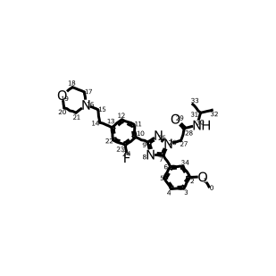 COc1cccc(-c2nc(-c3ccc(CCN4CCOCC4)cc3F)nn2CC(=O)NC(C)C)c1